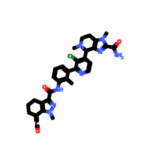 Cc1c(NC(=O)c2nn(C)c3c2CCCC3=C=O)cccc1-c1nccc(C2c3nc(C(N)=O)n(C)c3CCN2C)c1Cl